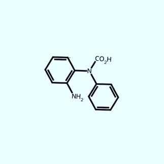 Nc1ccc[c]c1N(C(=O)O)c1ccccc1